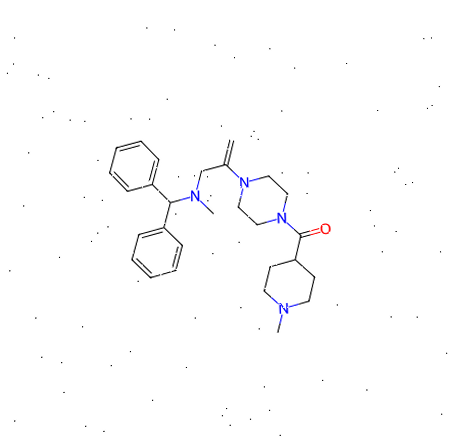 C=C(CN(C)C(c1ccccc1)c1ccccc1)N1CCN(C(=O)C2CCN(C)CC2)CC1